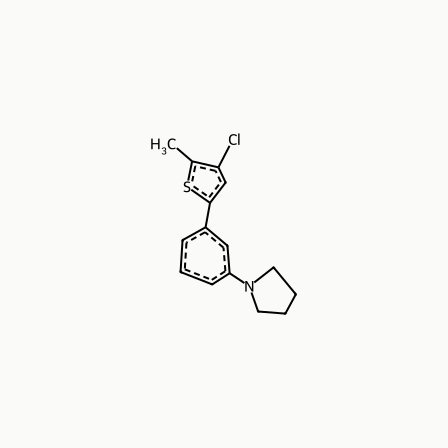 Cc1sc(-c2cccc(N3CCCC3)c2)cc1Cl